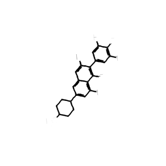 CC1CCC(c2cc(F)c3c(F)c(-c4cc(F)c(F)c(F)c4)c(F)cc3c2)CC1